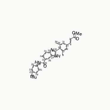 COC(=O)/C=C/c1cc(C)c(-c2nc3ccc(C(=O)Nc4ccc(C(C)(C)C)cc4)cc3[nH]2)c(C)c1